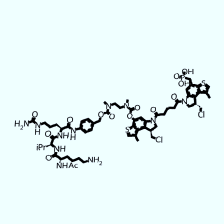 CC(=O)N[C@@H](CCCCN)C(=O)N[C@H](C(=O)N[C@@H](CCCNC(N)=O)C(=O)Nc1ccc(COC(=O)N(C)CCN(C)C(=O)Oc2cc3c(c4c(C)csc24)[C@H](CCl)CN3C(=O)CCCC(=O)N2C[C@@H](CCl)c3c2cc(CP(=O)(O)O)c2scc(C)c32)cc1)C(C)C